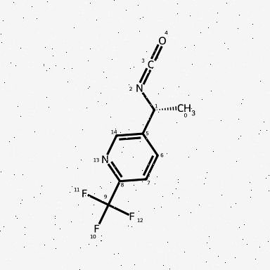 C[C@@H](N=C=O)c1ccc(C(F)(F)F)nc1